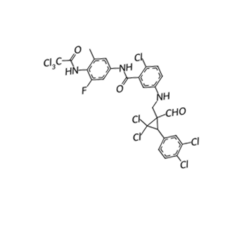 Cc1cc(NC(=O)c2cc(NCC3(C=O)C(c4ccc(Cl)c(Cl)c4)C3(Cl)Cl)ccc2Cl)cc(F)c1NC(=O)C(Cl)(Cl)Cl